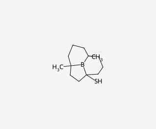 CC12CCCC3(C)CCC(S)(CCC1)B23